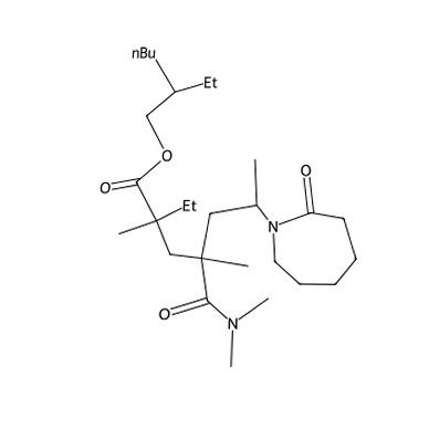 CCCCC(CC)COC(=O)C(C)(CC)CC(C)(CC(C)N1CCCCCC1=O)C(=O)N(C)C